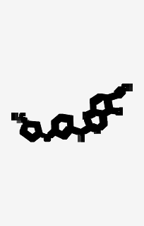 C#Cc1ccc2nc(Nc3cccc(O[C@@H]4CCN(C)C4)c3)ncc2c1Cl